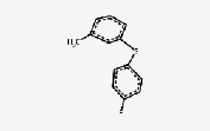 Cc1cccc(Sc2ccc(F)cc2)c1